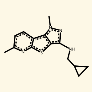 Cc1ccc2c(n1)sc1c(NCC3CC3)nn(C)c12